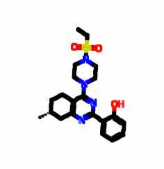 CCS(=O)(=O)N1CCN(c2nc(-c3ccccc3O)nc3c2CC[C@@H](C)C3)CC1